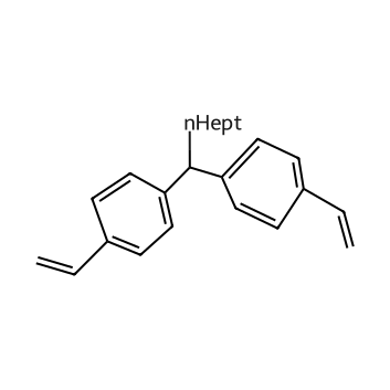 C=Cc1ccc(C(CCCCCCC)c2ccc(C=C)cc2)cc1